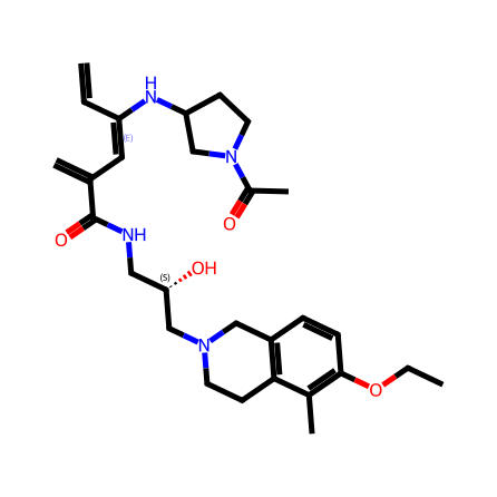 C=C/C(=C\C(=C)C(=O)NC[C@H](O)CN1CCc2c(ccc(OCC)c2C)C1)NC1CCN(C(C)=O)C1